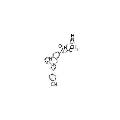 CC1(CN2C(=O)CN(c3ccc4c(c3)Cn3cc(-c5ccc(C#N)cc5)cc3-c3nccn3-4)C2=O)CNC1